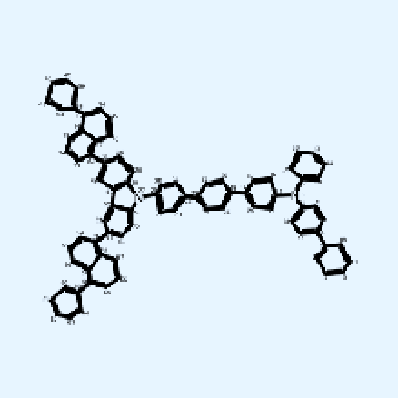 c1ccc(-c2ccc(N(c3ccccc3)c3ccc(-c4ccc(-c5ccc(-n6c7ccc(-c8cccc9c(-c%10ccccc%10)cccc89)cc7c7cc(-c8cccc9c(-c%10ccccc%10)cccc89)ccc76)cc5)cc4)cc3)cc2)cc1